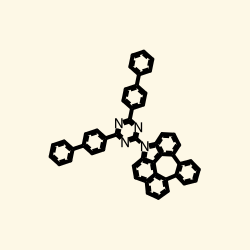 c1ccc(-c2ccc(-c3nc(-c4ccc(-c5ccccc5)cc4)nc(-n4c5cccc6c5c5c7c(cccc7ccc54)-c4ccccc4-6)n3)cc2)cc1